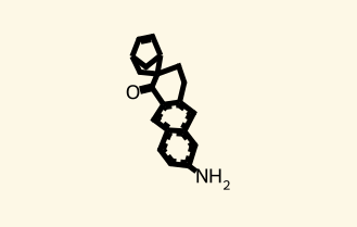 Nc1ccc2cc3c(cc2c1)CCC1(CC2C=CC1C2)C3=O